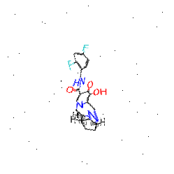 O=C(NCc1ccc(F)cc1F)c1cn2c(c(O)c1=O)CN1[C@@H]3CC[C@@H](C3)[C@H]1C2